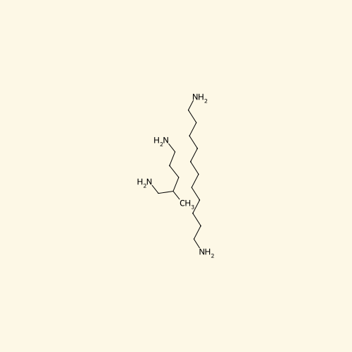 CC(CN)CCCN.NCCCCCCCCCCCN